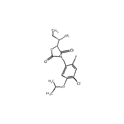 CCC(C)C1OC(=O)N(c2cc(OC(C)C)c(Cl)cc2F)C1=O